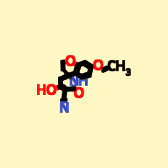 CCOc1ccc2c(c1)OCC[C@@]21CC(O)=C(C#N)C(=O)N1